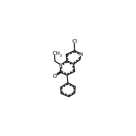 CCn1c(=O)c(-c2ccccc2)cc2cnc(Cl)cc21